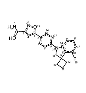 NC(O)c1cc(-c2ccc(NCC3(c4ncccc4F)CCC3)nn2)on1